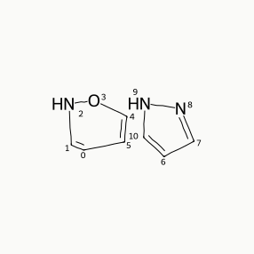 C1=CNOC=C1.c1cn[nH]c1